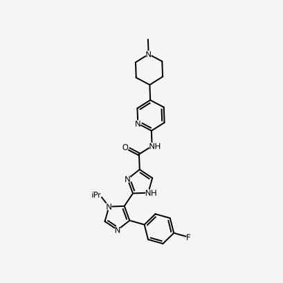 CC(C)n1cnc(-c2ccc(F)cc2)c1-c1nc(C(=O)Nc2ccc(C3CCN(C)CC3)cn2)c[nH]1